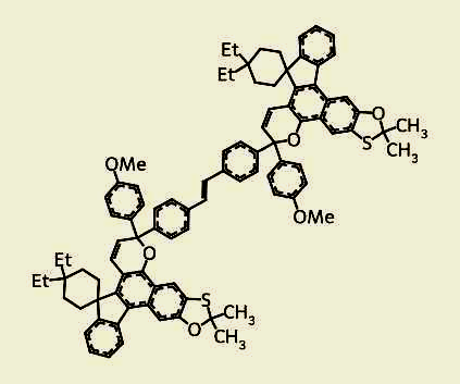 CCC1(CC)CCC2(CC1)c1ccccc1-c1c2c2c(c3cc4c(cc13)OC(C)(C)S4)OC(c1ccc(/C=C/c3ccc(C4(c5ccc(OC)cc5)C=Cc5c6c(c7cc8c(cc7c5O4)SC(C)(C)O8)-c4ccccc4C64CCC(CC)(CC)CC4)cc3)cc1)(c1ccc(OC)cc1)C=C2